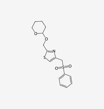 O=S(=O)(Cc1csc(COC2CCCCO2)n1)c1ccccc1